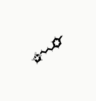 Cc1ccc(CCCCn2ccnn2)cc1